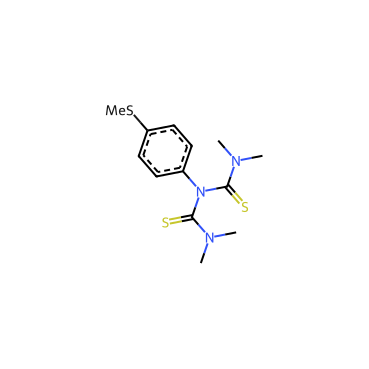 CSc1ccc(N(C(=S)N(C)C)C(=S)N(C)C)cc1